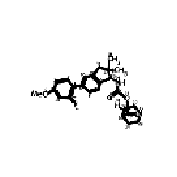 COc1ccc(-c2ccc3c(c2)CC(C)(C)[C@H]3NC(=O)O[C@@H]2CN3CCC2CC3)c(F)c1